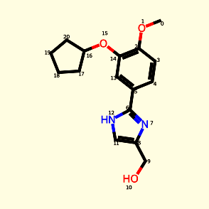 COc1ccc(-c2nc(CO)c[nH]2)cc1OC1CCCC1